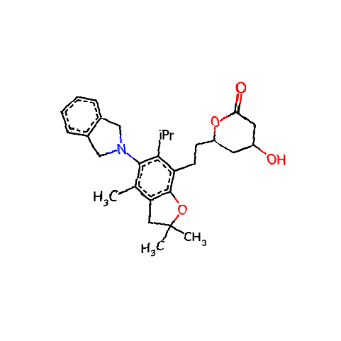 Cc1c2c(c(CCC3CC(O)CC(=O)O3)c(C(C)C)c1N1Cc3ccccc3C1)OC(C)(C)C2